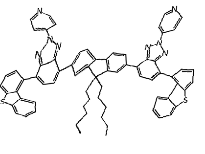 CCCCCCC1(CCCCCC)c2cc(-c3ccc(-c4cccc5sc6ccccc6c45)c4nn(-c5ccncc5)nc34)ccc2-c2ccc(-c3ccc(-c4cccc5sc6ccccc6c45)c4nn(-c5ccncc5)nc34)cc21